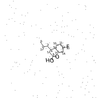 CC(C)CC(CC(=O)O)c1ccc(F)cc1